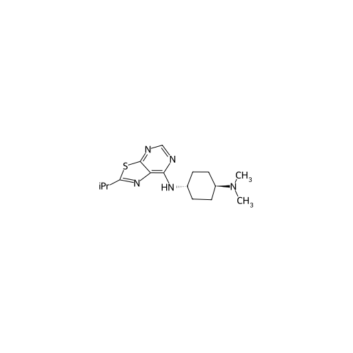 CC(C)c1nc2c(N[C@H]3CC[C@H](N(C)C)CC3)ncnc2s1